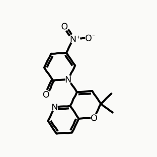 CC1(C)C=C(n2cc([N+](=O)[O-])ccc2=O)c2ncccc2O1